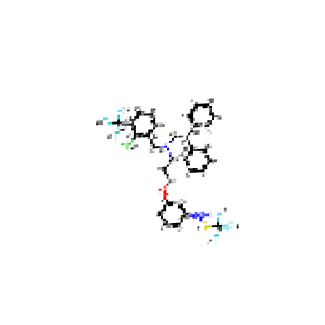 FC(F)(F)SNc1cccc(OCCCN(Cc2cccc(C(F)(F)F)c2Cl)CC(c2ccccc2)c2ccccc2)c1